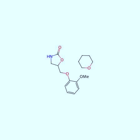 C1CCOCC1.COc1ccccc1OCC1CNC(=O)O1